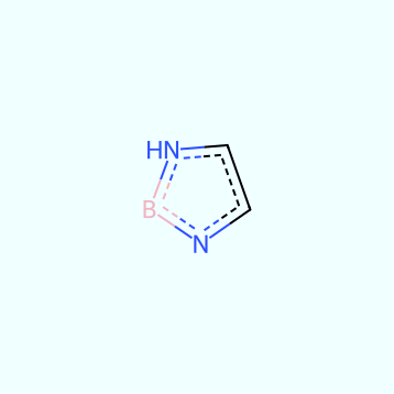 b1ncc[nH]1